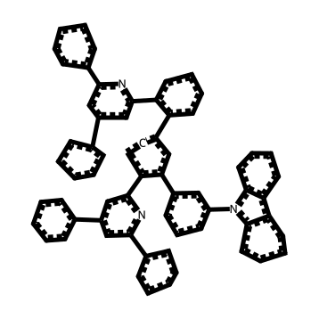 c1ccc(-c2cc(-c3ccccc3)nc(-c3ccccc3-c3ccc(-c4cc(-c5ccccc5)cc(-c5ccccc5)n4)c(-c4cccc(-n5c6ccccc6c6ccccc65)c4)c3)c2)cc1